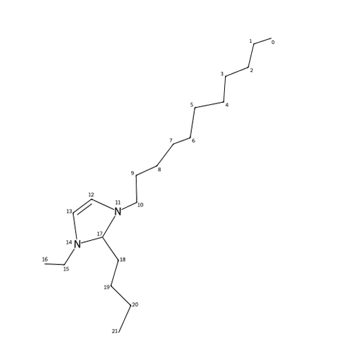 CCCCCCCCCCCN1C=CN(CC)C1CCCC